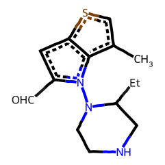 CCC1CNCCN1n1c(C=O)cc2scc(C)c21